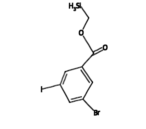 O=C(OC[SiH3])c1cc(Br)cc(I)c1